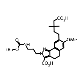 COc1cc2c(cc1CCC(C)(C)CC(=O)O)-c1nn(CCCNC(=O)OC(C)(C)C)c(C(=O)O)c1CC2